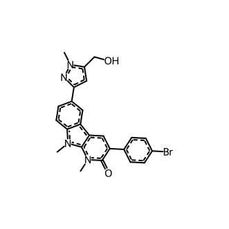 Cn1nc(-c2ccc3c(c2)c2cc(-c4ccc(Br)cc4)c(=O)n(C)c2n3C)cc1CO